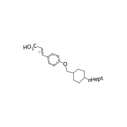 CCCCCCCC1CCC(COc2ccc(/C=C/C(=O)O)cc2)CC1